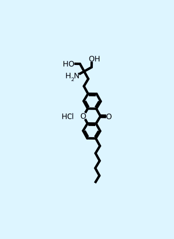 CCCCCCc1ccc2oc3cc(CCC(N)(CO)CO)ccc3c(=O)c2c1.Cl